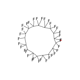 FC1C(F)(F)C(F)(F)C(F)(F)C(F)(F)C(F)(F)C(F)(F)C(F)(F)C(F)(F)C(F)(F)C(F)(F)C(F)(F)C(F)(F)C(F)(F)C(F)(F)C(F)(F)C1(F)F